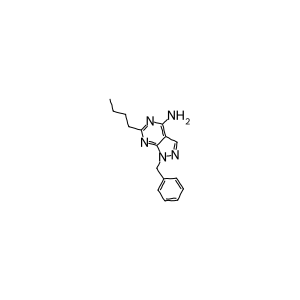 CCCCc1nc(N)c2cnn(Cc3ccccc3)c2n1